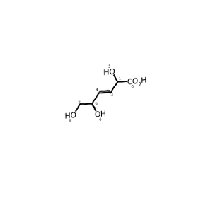 O=C(O)C(O)/C=C/C(O)CO